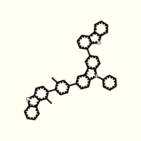 Cc1cc(-c2ccc3c(c2)c2cc(-c4cccc5c4oc4ccccc45)ccc2n3-c2ccccc2)ccc1-c1ccc2oc3ccccc3c2c1C